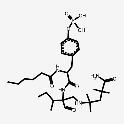 CCCCCC(=O)NC(Cc1ccc(OP(=O)(O)O)cc1)C(=O)NC(C=O)(CNC(C)(C)CC(C)(C)C(N)=O)C(C)CC